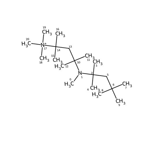 CN(C(C)(C)CC(C)(C)C)C(C)(C)CC(C)(C)[N+](C)(C)C